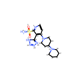 NS(=O)(=O)c1nccc(N2CCC(N3CCCCC3)CC2)c1-c1nnn[nH]1